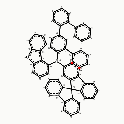 c1ccc(-c2ccccc2-c2ccc(N(c3ccc4c(c3)C3(c5ccccc5-c5ccccc53)c3ccccc3-4)c3cccc4oc5ccccc5c34)c(-c3ccccc3)c2)cc1